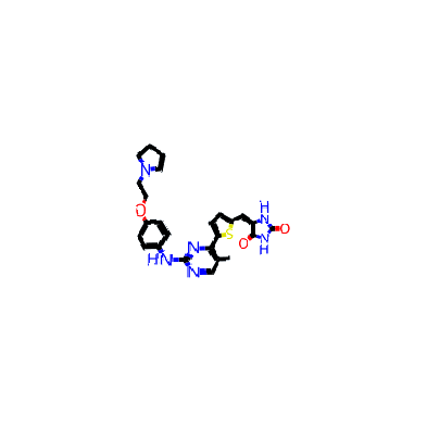 Cc1cnc(Nc2ccc(OCCN3CCCC3)cc2)nc1-c1ccc(C=C2NC(=O)NC2=O)s1